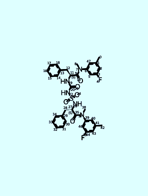 Cc1cc(F)cc(N(C)C(=O)[C@H](Cc2ccccc2)NC(=O)NS(=O)(=O)N[C@@H](Cc2ccccc2)C(=O)N(C)c2cc(C)cc(F)c2)c1